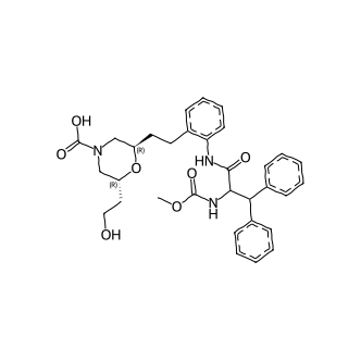 COC(=O)NC(C(=O)Nc1ccccc1CC[C@@H]1CN(C(=O)O)C[C@@H](CCO)O1)C(c1ccccc1)c1ccccc1